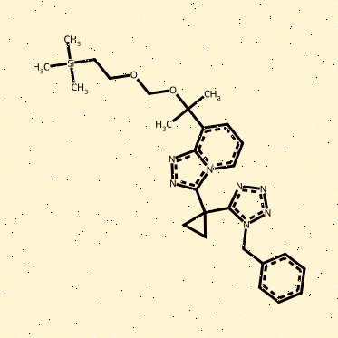 CC(C)(OCOCC[Si](C)(C)C)c1cccn2c(C3(c4nnnn4Cc4ccccc4)CC3)nnc12